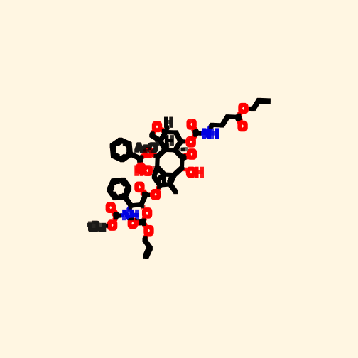 C=CCOC(=O)CCCNC(=O)OC1C[C@H]2OC[C@@]2(OC(C)=O)[C@H]2[C@H](OC(=O)c3ccccc3)[C@]3(O)CC(OC(=O)[C@H](OC(=O)OCC=C)[C@@H](NC(=O)OC(C)(C)C)c4ccccc4)C(C)=C([C@@H](O)C(=O)[C@]12C)C3(C)C